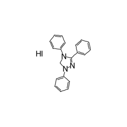 I.c1ccc(C2=NN(c3ccccc3)CN2c2ccccc2)cc1